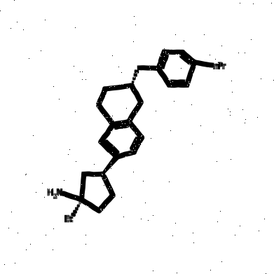 CCCc1ccc(C[C@H]2CCc3cc([C@H]4CC[C@](N)(CC)C4)ccc3C2)cc1